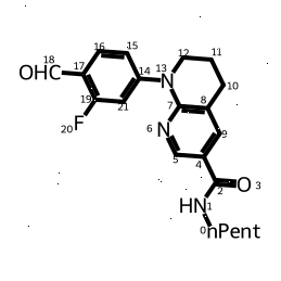 CCCCCNC(=O)c1cnc2c(c1)CCCN2c1ccc(C=O)c(F)c1